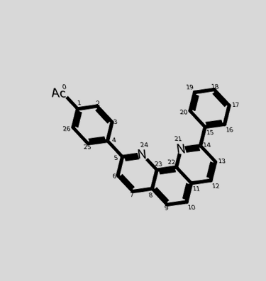 CC(=O)c1ccc(-c2ccc3ccc4ccc(-c5ccccc5)nc4c3n2)cc1